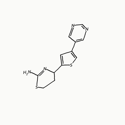 NC1=NC(c2cc(-c3cncnc3)cs2)CCS1